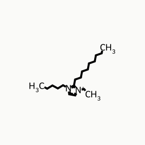 CCCCCCCCCc1n(CCCCC)cc[n+]1CC